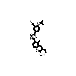 CCC(Cc1cccc(-c2noc(-c3ccc(OC(C)C)c(C#N)c3)n2)c1C)C(=O)O